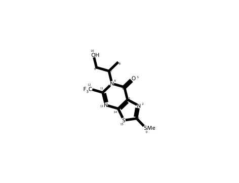 CSc1nc2c(=O)n(C(C)CO)c(C(F)(F)F)nc2s1